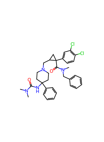 CN(C)C(=O)NC1(c2ccccc2)CCN(CC2CC2(C(=O)N(C)Cc2ccccc2)c2ccc(Cl)c(Cl)c2)CC1